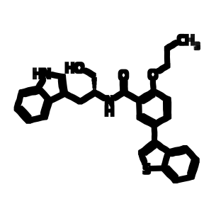 CCCOc1ccc(-c2csc3ccccc23)cc1C(=O)N[C@@H](CO)Cc1c[nH]c2ccccc12